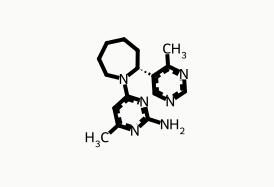 Cc1cc(N2CCCCC[C@@H]2c2cncnc2C)nc(N)n1